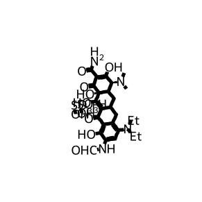 CCN(CC)c1cc(NC=O)c(O)c2c1CC1CC3[C@H](N(C)C)C(O)=C(C(N)=O)C(=O)[C@@]3(O)C(O)=C1C2=O.O=S(=O)(O)O.O=S(=O)(O)O